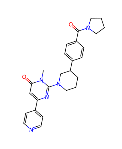 Cn1c(N2CCCC(c3ccc(C(=O)N4CCCC4)cc3)C2)nc(-c2ccncc2)cc1=O